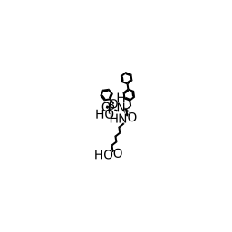 O=C(O)CCCCCCNC(=O)[C@H](Cc1ccc(-c2ccccc2)cc1)NCP(=O)(O)Oc1ccccc1